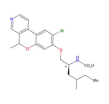 CC(C[C@@H](COc1cc2c(cc1Br)-c1ccncc1C(C)O2)NC(=O)O)CC(C)(C)C